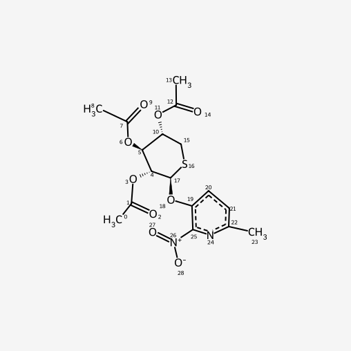 CC(=O)O[C@@H]1[C@@H](OC(C)=O)[C@H](OC(C)=O)CS[C@H]1Oc1ccc(C)nc1[N+](=O)[O-]